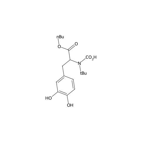 CCCCOC(=O)C(Cc1ccc(O)c(O)c1)N(C(=O)O)C(C)(C)C